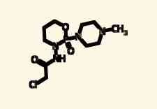 CN1CCN(P2(=O)OCCCN2NC(=O)CCl)CC1